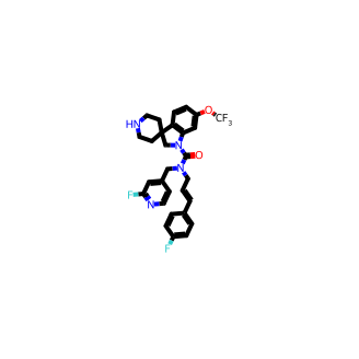 O=C(N(CC=Cc1ccc(F)cc1)Cc1ccnc(F)c1)N1CC2(CCNCC2)c2ccc(OC(F)(F)F)cc21